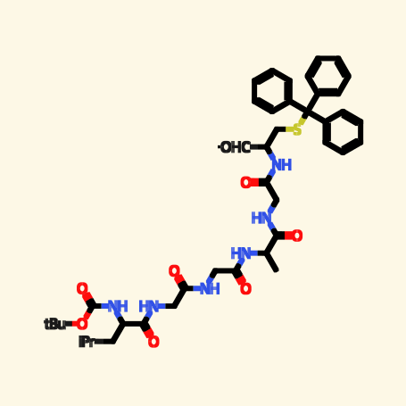 CC(C)CC(NC(=O)OC(C)(C)C)C(=O)NCC(=O)NCC(=O)NC(C)C(=O)NCC(=O)NC([C]=O)CSC(c1ccccc1)(c1ccccc1)c1ccccc1